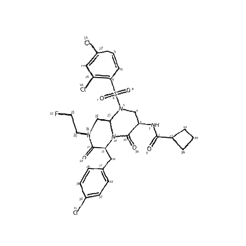 O=C(NC1CN(S(=O)(=O)c2ccc(Cl)cc2Cl)C2CN(CCF)C(=O)C(Cc3ccc(Cl)cc3)N2C1=O)C1CCC1